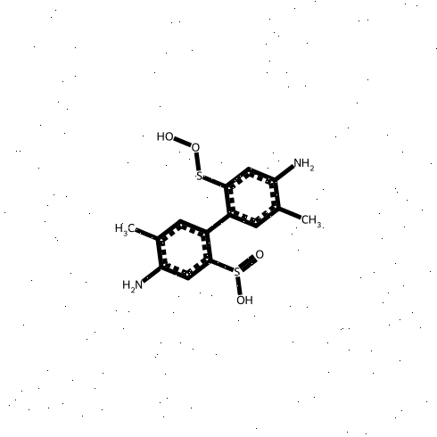 Cc1cc(-c2cc(C)c(N)cc2S(=O)O)c(SOO)cc1N